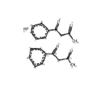 CC(=O)CC(=O)c1ccccc1.CC(=O)CC(=O)c1ccccc1.[Pt+2]